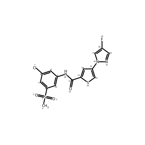 CS(=O)(=O)c1cc(Cl)cc(NC(=O)c2cc(-n3cc(F)cn3)cs2)c1